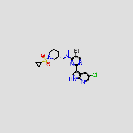 CCc1cnc(-c2c[nH]c3ncc(Cl)cc23)nc1NC[C@H]1CCCN(S(=O)(=O)C2CC2)C1